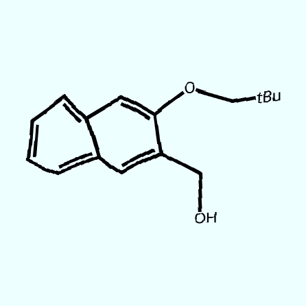 CC(C)(C)COc1cc2ccccc2cc1CO